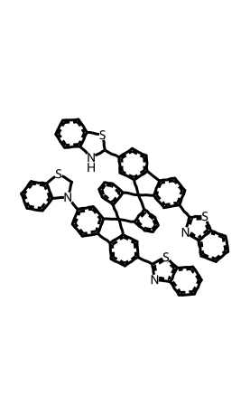 c1ccc2c(c1)NC(c1ccc3c(c1)C1(c4cc(-c5nc6ccccc6s5)ccc4-3)c3ccccc3C3(c4cc(-c5nc6ccccc6s5)ccc4-c4ccc(N5CSc6ccccc65)cc43)c3ccccc31)S2